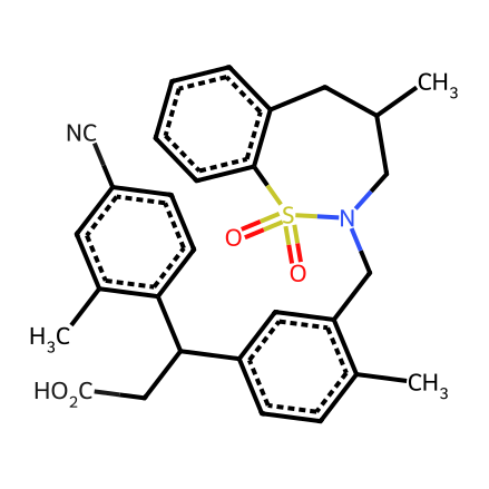 Cc1ccc(C(CC(=O)O)c2ccc(C#N)cc2C)cc1CN1CC(C)Cc2ccccc2S1(=O)=O